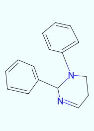 C1=NC(c2ccccc2)N(c2ccccc2)CC1